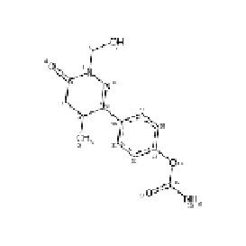 CC1CC(=O)N(CO)N=C1c1ccc(OC(N)=O)cc1